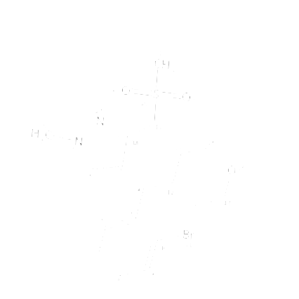 CN1CC(C(c2ccccc2Br)C2CCOCC2)C(CS(C)(=O)=O)=N1